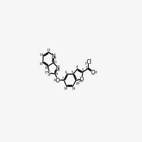 O=C(Cl)c1cc2cc(Oc3nc4ncccc4s3)ccc2o1